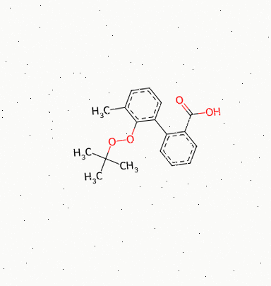 Cc1cccc(-c2ccccc2C(=O)O)c1OOC(C)(C)C